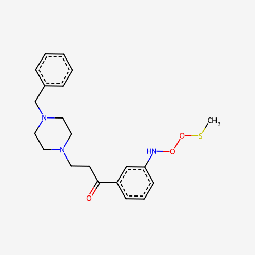 CSOONc1cccc(C(=O)CCN2CCN(Cc3ccccc3)CC2)c1